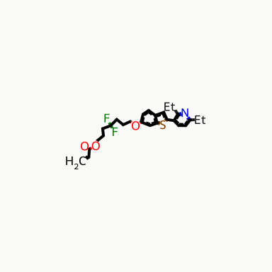 C=CC(=O)OCCCC(F)(F)CCCOc1ccc2cc(-c3ccc(CC)nc3CC)sc2c1